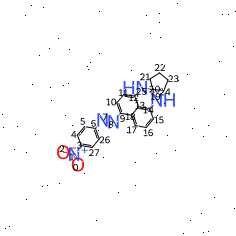 O=[N+]([O-])c1ccc(/N=N/c2ccc3c4c(cccc24)NC2(CCCC2)N3)cc1